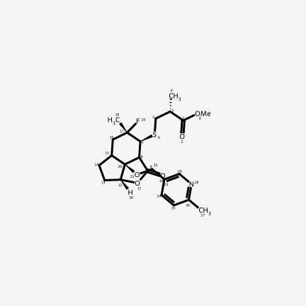 COC(=O)[C@@H](C)CS[C@H]1C2C(=O)O[C@@H]3CCC(C[C@]1(C)F)[C@]23OCc1ccc(C)nc1